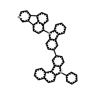 c1ccc(-n2c3ccc(-c4ccc5c(c4)c4ccccc4n5-c4ccc5c6c(cccc46)-c4ccncc4-5)cc3c3c4ccccc4ccc32)cc1